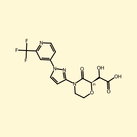 O=C(O)C(O)[C@H]1OCCN(c2ccn(-c3ccnc(C(F)(F)F)c3)n2)C1=O